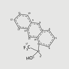 CC(O)(c1cccc2cc3ccccc3cc12)C(F)(F)F